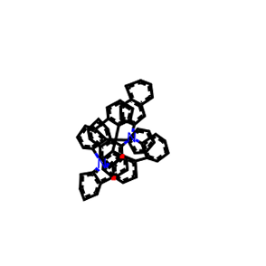 c1ccc(C2(c3ccccc3)c3ccccc3-c3cccc(-n4c5ccccc5c5ccc(-c6ccccc6N(c6ccc7ccccc7c6)c6cccc7ccccc67)cc54)c32)cc1